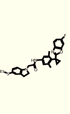 CCSc1ccc2c(c1)CCN2CC(=O)Nc1cc(C)c(C2(c3nc4ccc(F)cc4o3)CC2)c(C)c1